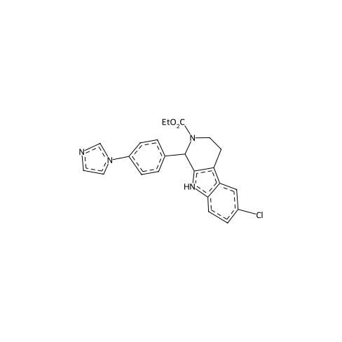 CCOC(=O)N1CCc2c([nH]c3ccc(Cl)cc23)C1c1ccc(-n2ccnc2)cc1